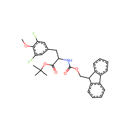 COc1c(F)cc(CC(NC(=O)OCC2c3ccccc3-c3ccccc32)C(=O)OC(C)(C)C)cc1F